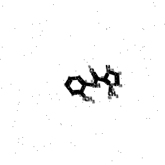 Cc1ccccc1NC(=O)c1[nH]cc[n+]1C